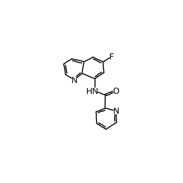 O=C(Nc1cc(F)cc2cccnc12)c1ccccn1